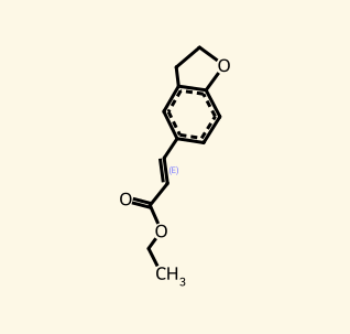 CCOC(=O)/C=C/c1ccc2c(c1)CCO2